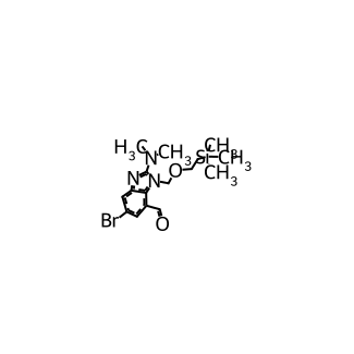 CN(C)c1nc2cc(Br)cc(C=O)c2n1COCC[Si](C)(C)C